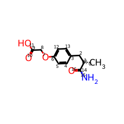 C[C@@H](Cc1ccc(OCC(=O)O)cc1)C(N)=O